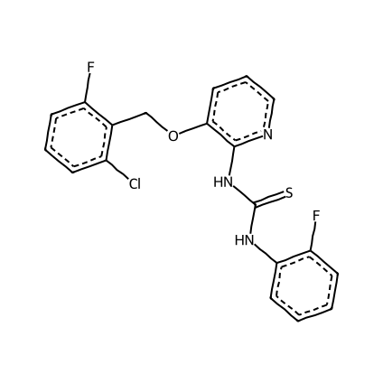 Fc1ccccc1NC(=S)Nc1ncccc1OCc1c(F)cccc1Cl